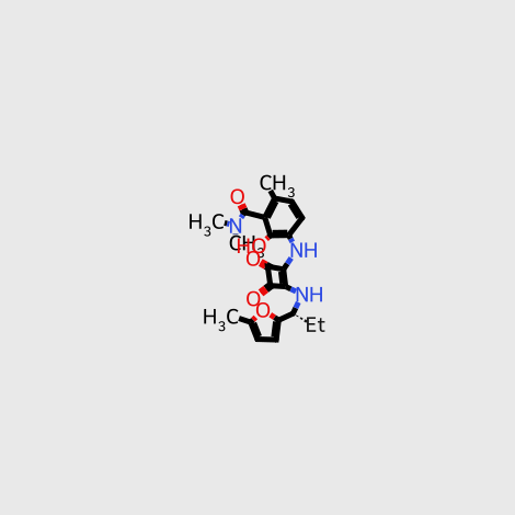 CC[C@@H](Nc1c(Nc2ccc(C)c(C(=O)N(C)C)c2O)c(=O)c1=O)c1ccc(C)o1